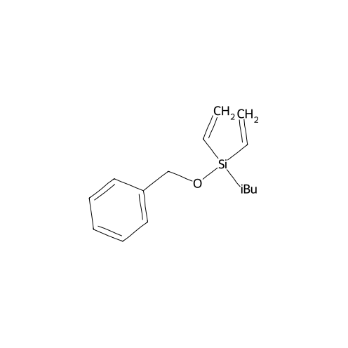 C=C[Si](C=C)(OCc1ccccc1)C(C)CC